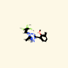 COc1c(C)cccc1-c1nc(C)n(CC(F)(F)F)n1